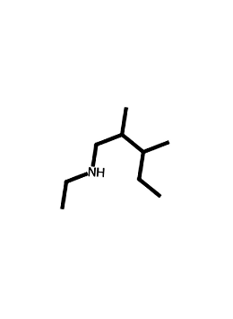 CCNCC(C)C(C)CC